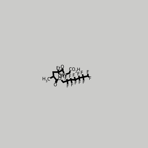 CCC(C)(CC(C)C(=O)OCC(F)(F)C(F)(F)C(F)(F)C(F)(F)C(F)(F)C(F)F)C(=O)NCC(=O)O